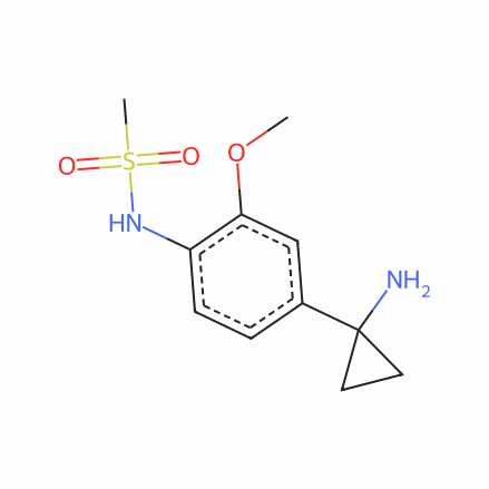 COc1cc(C2(N)CC2)ccc1NS(C)(=O)=O